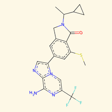 CSc1cc(-c2cnc3c(N)nc(C(F)(F)F)cn23)cc2c1C(=O)N(C(C)C1CC1)C2